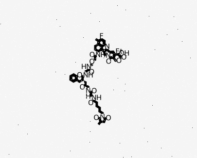 CC[C@@]1(O)C(=O)OCc2c1cc1n(c2=O)Cc2c-1nc1cc(F)c(C)c3c1c2[C@@H](NC(=O)COCNC(=O)CNC(=O)[C@@H](CC(=O)CNC(=O)CNC(=O)CCCCCN1C(=O)CC(C)C1=O)Cc1ccccc1)CC3